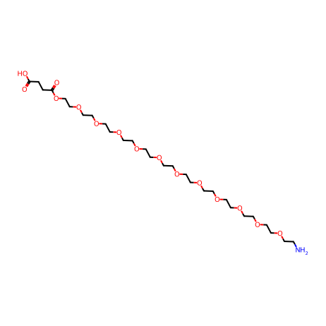 NCCOCCOCCOCCOCCOCCOCCOCCOCCOCCOCCOCCOC(=O)CCC(=O)O